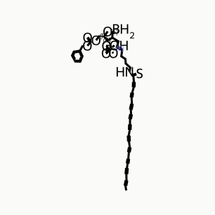 B[C@@H]1O[C@H](COC(=O)OCc2ccccc2)[C@H](OP(=O)(O)OC)C1C/C=C/CCCCNC(=S)C#CC#CC#CC#CC#CC#CC#CC#CC#CC#CC